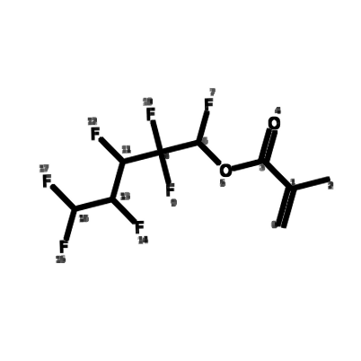 C=C(C)C(=O)OC(F)C(F)(F)C(F)C(F)C(F)F